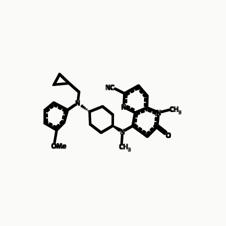 COc1cccc(N(CC2CC2)[C@H]2CC[C@H](N(C)c3cc(=O)n(C)c4ccc(C#N)nc34)CC2)c1